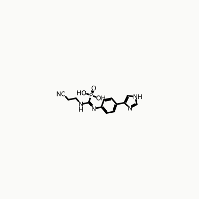 N#CCCNC(=Nc1ccc(-c2c[nH]cn2)cc1)P(=O)(O)O